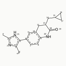 Cc1nc(F)c(-c2ccc3c(c2)CC(CC2CC2)C(=O)N3)[nH]1